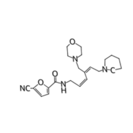 N#Cc1ccc(C(=O)NC/C=C\C(=C/CN2CCCCC2)CN2CCOCC2)o1